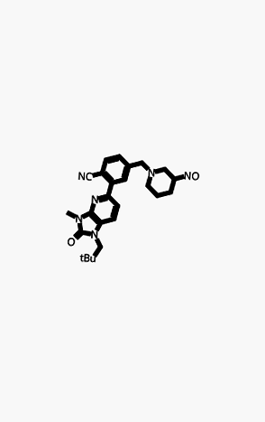 Cn1c(=O)n(CC(C)(C)C)c2ccc(-c3cc(CN4CCCC(N=O)C4)ccc3C#N)nc21